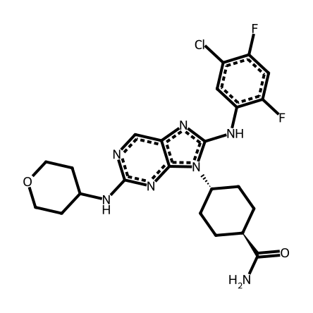 NC(=O)[C@H]1CC[C@H](n2c(Nc3cc(Cl)c(F)cc3F)nc3cnc(NC4CCOCC4)nc32)CC1